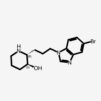 O[C@H]1CCCN[C@@H]1CCCn1cnc2cc(Br)ccc21